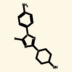 Nc1ccc(-n2nc(N3CCC(O)CC3)nc2I)cc1